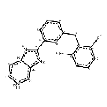 Fc1cccc(F)c1Cc1cccc(-c2nc3cc[nH]cc-3n2)c1